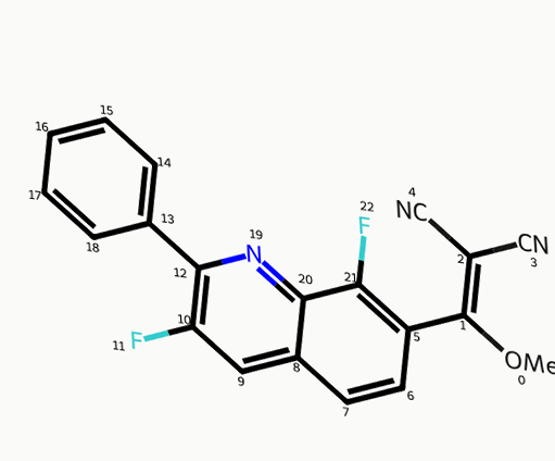 COC(=C(C#N)C#N)c1ccc2cc(F)c(-c3ccccc3)nc2c1F